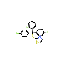 Fc1ccc(C(Sc2nccs2)(c2ccc(F)cc2)c2ccccc2F)cc1